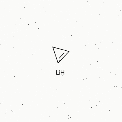 C1=CC1.[LiH]